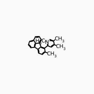 Cc1cc(-c2c(C)ccc3c2-c2cccc4cccc-3c24)[n+](C)cc1C